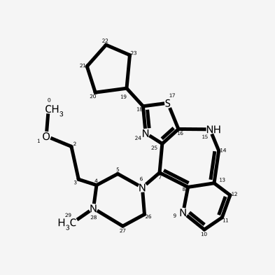 COCCC1CN(C2=c3ncccc3=CNc3sc(C4CCCC4)nc32)CCN1C